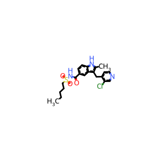 CCCCCS(=O)(=O)NC(=O)c1ccc2[nH]c(C)c(Cc3ccncc3Cl)c2c1